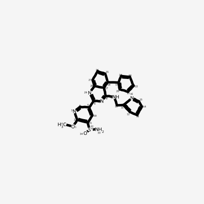 COc1ncc(-c2nc(NCc3ccccn3)c3c(-c4ccccc4)cccc3n2)cc1[S+](N)[O-]